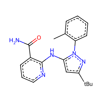 Cc1ccccc1-n1nc(C(C)(C)C)cc1Nc1ncccc1C(N)=O